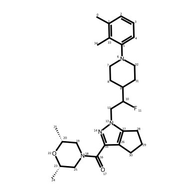 Cc1cccc(N2CCC(C(F)Cn3nc(C(=O)N4C[C@@H](C)O[C@@H](C)C4)c4c3CCC4)CC2)c1C